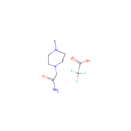 CN1CCN(CC(N)=O)CC1.O=C(O)C(F)(F)F